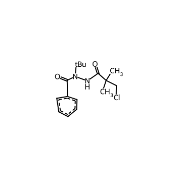 CC(C)(CCl)C(=O)NN(C(=O)c1ccccc1)C(C)(C)C